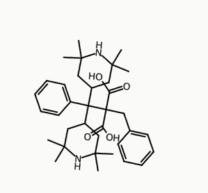 CC1(C)CC(C(c2ccccc2)(C2CC(C)(C)NC(C)(C)C2)C(Cc2ccccc2)(C(=O)O)C(=O)O)CC(C)(C)N1